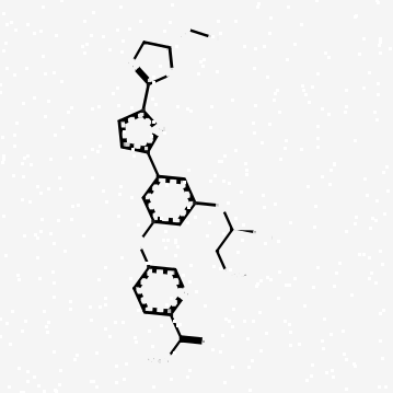 CNC(=O)c1ccc(Oc2cc(O[C@@H](C)COC)cc(-c3ccc(C4=NC[C@H](CO)O4)[nH]3)c2)cn1